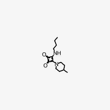 CCCCNc1c(N2CCC(C)CC2)c(=O)c1=O